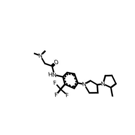 CC1CCCN1C1CCN(c2ccc(NC(=O)CN(C)C)c(C(F)(F)F)c2)C1